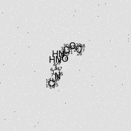 O=C(NCCC1CCN(Cc2ccccc2)CC1)Nc1ccc(Oc2ccccc2)cc1